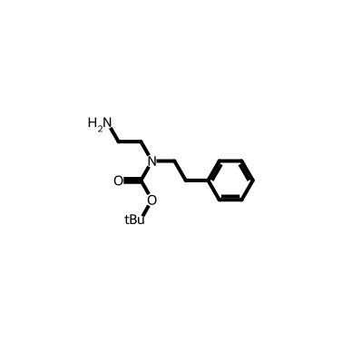 CC(C)(C)OC(=O)N(CCN)CCc1ccccc1